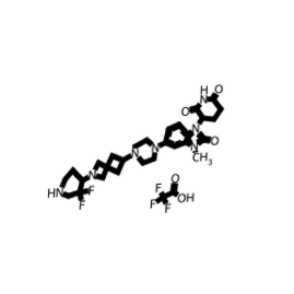 Cn1c(=O)n(C2CCC(=O)NC2=O)c2ccc(N3CCN(C4CC5(C4)CN(C4CCNCC4(F)F)C5)CC3)cc21.O=C(O)C(F)(F)F